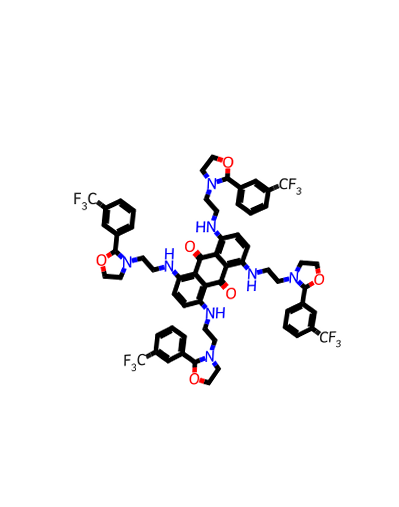 O=C1c2c(NCCN3CCOC3c3cccc(C(F)(F)F)c3)ccc(NCCN3CCOC3c3cccc(C(F)(F)F)c3)c2C(=O)c2c(NCCN3CCOC3c3cccc(C(F)(F)F)c3)ccc(NCCN3CCOC3c3cccc(C(F)(F)F)c3)c21